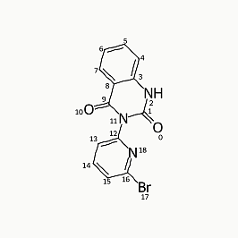 O=c1[nH]c2ccccc2c(=O)n1-c1cccc(Br)n1